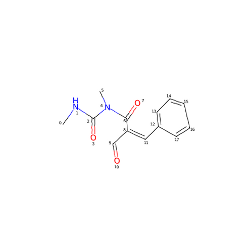 CNC(=O)N(C)C(=O)C([C]=O)=Cc1ccccc1